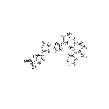 CCCN(Cc1nc(-c2ncc(-c3cccc(-c4cnc([C@H](C)NC)[nH]4)c3)o2)c[nH]1)C(=O)[C@@H](c1ccccc1)N(C)C